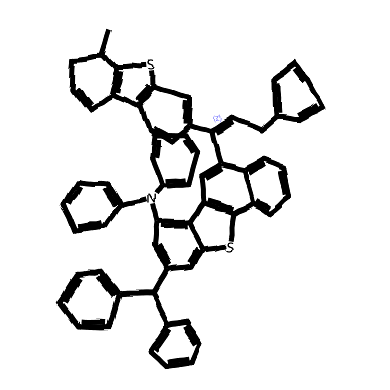 CC1CC=Cc2c1sc1cc(/C(=C/Cc3ccccc3)c3cc4c(sc5cc(C(c6ccccc6)c6ccccc6)cc(N(c6ccccc6)c6ccccc6)c54)c4ccccc34)ccc21